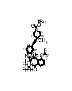 [2H]C([2H])([2H])N1C(=O)c2cccc(OC(F)F)c2[C@H]2C[C@@H]1c1nc3ccc(C#CC4(C)CCN(C(=O)OC(C)(C)C)CC4)cc3n12